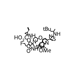 C=C[C@@H]1C[C@]1(NC(=O)[C@@H]1C[C@@H](Oc2cc(-c3csc(NC(C)CC(C)(C)C)n3)nc3c(C)c(OC)ccc23)CN1C(=O)[C@@H](NC(=O)OCCF)C(C)(C)C)C(=O)O